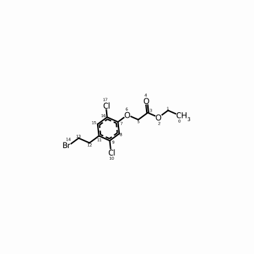 CCOC(=O)COc1cc(Cl)c(CCBr)cc1Cl